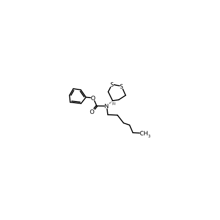 CCCCCCN(C(=O)Oc1ccccc1)[C@H]1CCSSC1